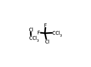 ClC(Cl)(Cl)Cl.FC(F)(Cl)C(Cl)(Cl)Cl